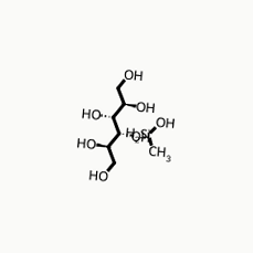 C[SiH2]O.OC[C@@H](O)[C@@H](O)[C@H](O)[C@H](O)CO